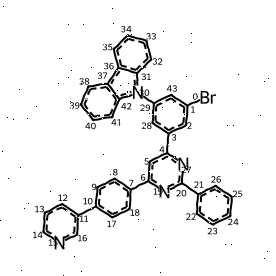 Brc1cc(-c2cc(-c3ccc(-c4cccnc4)cc3)nc(-c3ccccc3)n2)cc(-n2c3ccccc3c3ccccc32)c1